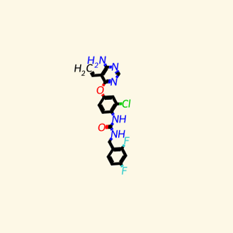 C=Cc1c(N)ncnc1Oc1ccc(NC(=O)NCc2ccc(F)cc2F)c(Cl)c1